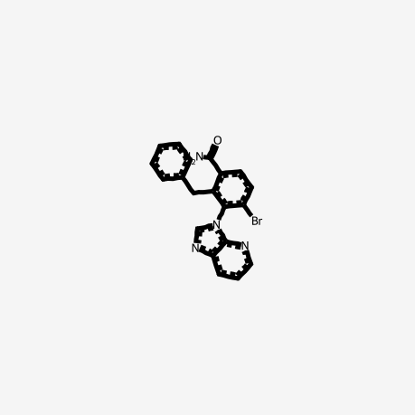 NC(=O)c1ccc(Br)c(-n2cnc3cccnc32)c1Cc1ccccc1